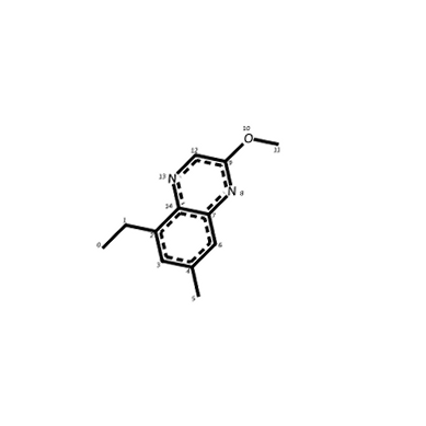 CCc1cc(C)cc2nc(OC)cnc12